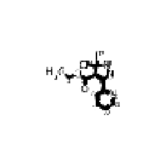 CCOC(=O)C1=C(c2ccccn2)N=NC1(Cl)I